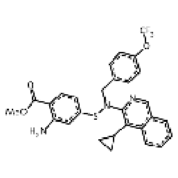 COC(=O)c1ccc(SN(Cc2ccc(OC(F)(F)F)cc2)c2ncc3ccccc3c2C2CC2)cc1N